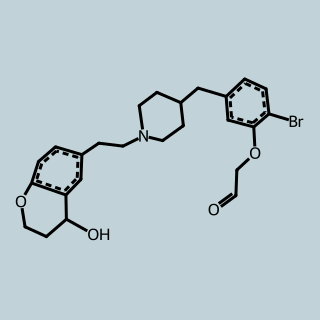 O=CCOc1cc(CC2CCN(CCc3ccc4c(c3)C(O)CCO4)CC2)ccc1Br